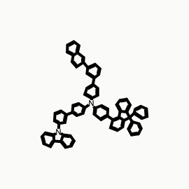 c1ccc(C2(c3ccccc3)c3ccccc3-c3c(-c4ccc(N(c5ccc(-c6cccc(-c7ccc8ccccc8c7)c6)cc5)c5ccc(-c6cccc(-n7c8ccccc8c8ccccc87)c6)cc5)cc4)cccc32)cc1